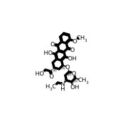 CCN[C@H]1C[C@H](O[C@H]2C[C@H](C(=O)CO)Cc3c(O)c4c(c(O)c32)C(=O)c2c(OC)cccc2C4=O)O[C@@H](C)[C@H]1O